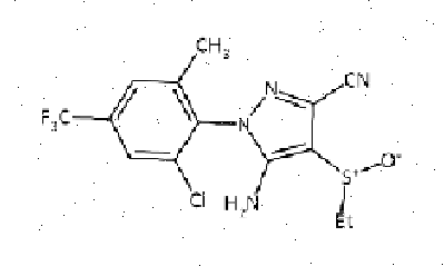 CC[S+]([O-])c1c(C#N)nn(-c2c(C)cc(C(F)(F)F)cc2Cl)c1N